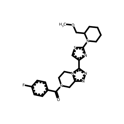 COCC1CCCCN1c1nc(-c2nnc3n2CCN(C(=O)c2ccc(F)cc2)C3)cs1